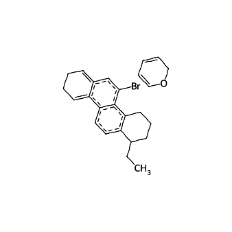 C1=CCOC=C1.CCC1CCCc2c1ccc1c3c(cc(Br)c21)=CCCC=3